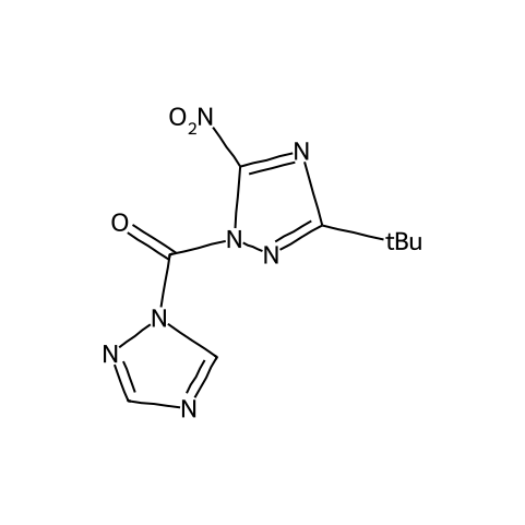 CC(C)(C)c1nc([N+](=O)[O-])n(C(=O)n2cncn2)n1